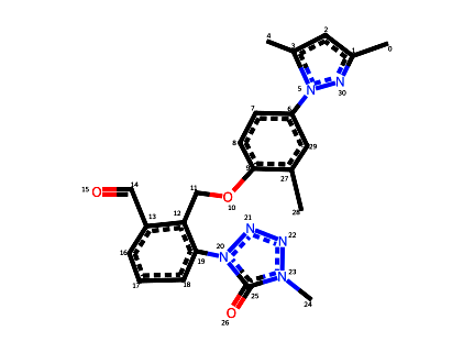 Cc1cc(C)n(-c2ccc(OCc3c(C=O)cccc3-n3nnn(C)c3=O)c(C)c2)n1